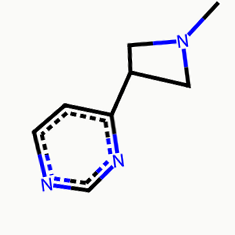 CN1CC(c2ccncn2)C1